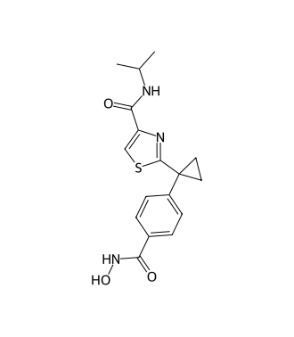 CC(C)NC(=O)c1csc(C2(c3ccc(C(=O)NO)cc3)CC2)n1